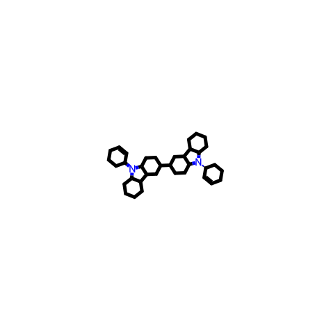 C1=CC(N2C3CCCCC3C3CC(C4CCC5C(C4)C4CCCCC4N5[C@H]4C=CCCC4)CCC32)CCC1